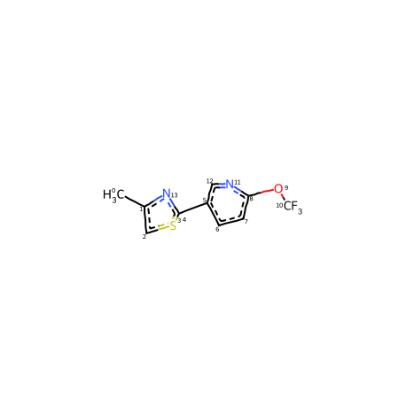 Cc1csc(-c2ccc(OC(F)(F)F)nc2)n1